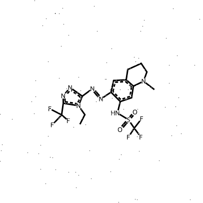 CCn1c(N=Nc2cc3c(cc2NS(=O)(=O)C(F)(F)F)N(C)CCC3)nnc1C(F)(F)F